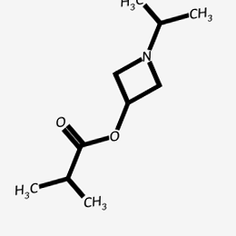 CC(C)C(=O)OC1CN(C(C)C)C1